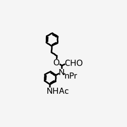 CCCN(c1cccc(NC(C)=O)c1)C(C=O)OCCc1ccccc1